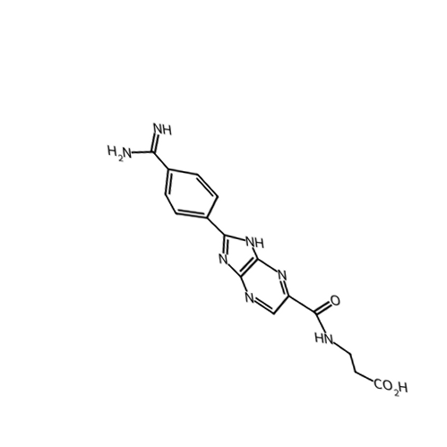 N=C(N)c1ccc(-c2nc3ncc(C(=O)NCCC(=O)O)nc3[nH]2)cc1